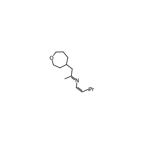 C/C(CC1CCCOCC1)=N\C=C/C(C)C